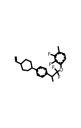 C=CC1CCC(c2ccc(C(C)C(F)(F)Oc3ccc(C)c(F)c3F)cc2)CC1